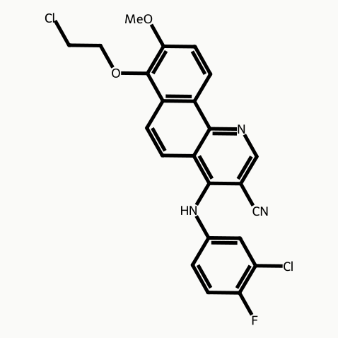 COc1ccc2c(ccc3c(Nc4ccc(F)c(Cl)c4)c(C#N)cnc32)c1OCCCl